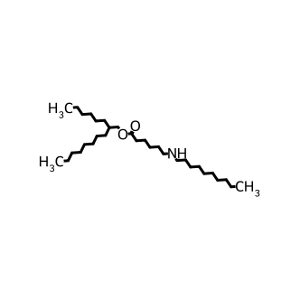 CCCCCCCCCCNCCCCCC(=O)OCC(CCCCCC)CCCCCCCC